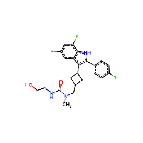 CN(CC1CC(c2c(-c3ccc(F)cc3)[nH]c3c(F)cc(F)cc23)C1)C(=O)NCCO